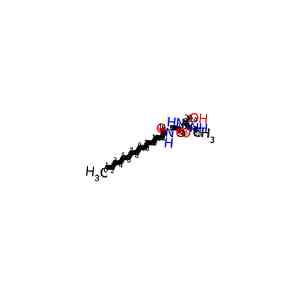 CCCCCCCCCCCCCCCC(=O)NCC(=O)N[C@@H](CO)C(=O)NC